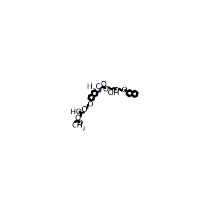 C=CC(=O)OCC(O)COCCOc1ccc2ccc(/C=C(\C)C(=O)OCC(O)COCCOc3ccc4ccccc4c3)cc2c1